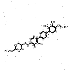 CCCCCCCCCCOc1ccc(-c2ccc(-c3ccc(COC4COC(CCCCC)OC4)c(F)c3F)cc2)c(F)c1F